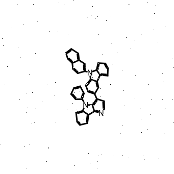 c1ccc(-n2c3ccccc3c3nccc(-c4ccc5c(c4)c4ccccc4n5-c4ccc5ccccc5c4)c32)cc1